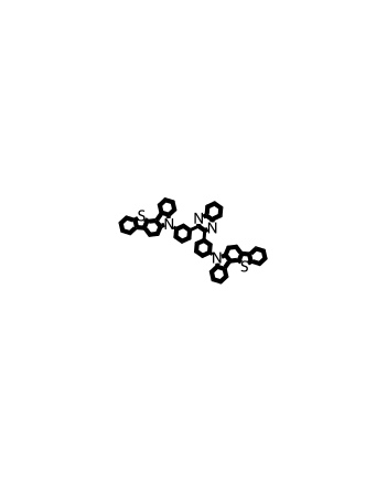 c1cc(-c2nc3ccccc3nc2-c2cccc(-n3c4ccccc4c4c5sc6ccccc6c5ccc43)c2)cc(-n2c3ccccc3c3c4sc5ccccc5c4ccc32)c1